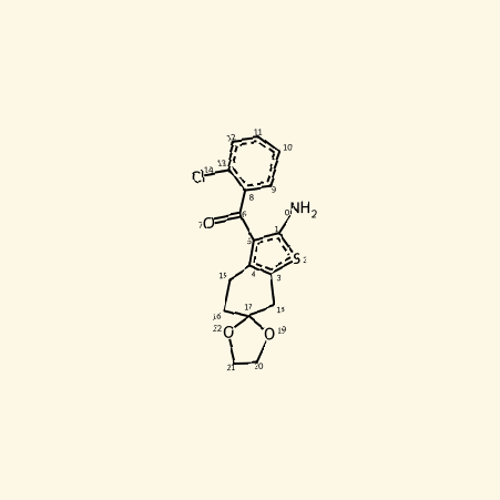 Nc1sc2c(c1C(=O)c1ccccc1Cl)CCC1(C2)OCCO1